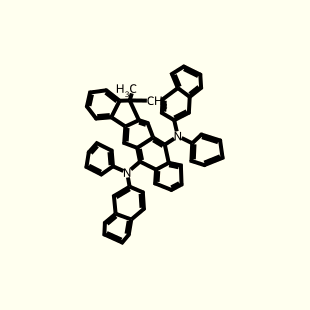 CC1(C)c2ccccc2-c2cc3c(N(c4ccccc4)c4ccc5ccccc5c4)c4ccccc4c(N(c4ccccc4)c4ccc5ccccc5c4)c3cc21